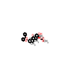 COC(=O)COC[C@@]1(C)[C@@H]2CC[C@]3(C)[C@H](C(=O)C=C4[C@@H]5C[C@@H](C(=O)OC(c6ccccc6)c6ccccc6)CC[C@]5(C)CC[C@]43C)[C@@]2(C)CC[C@@H]1O